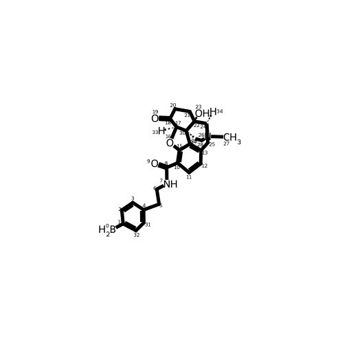 Bc1ccc(CCNC(=O)c2ccc3c4c2O[C@H]2C(=O)CC[C@@]5(O)[C@@H](C3)N(C)CC[C@]425)cc1